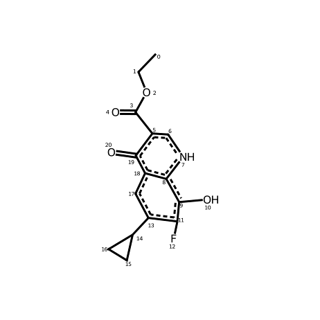 CCOC(=O)c1c[nH]c2c(O)c(F)c(C3CC3)cc2c1=O